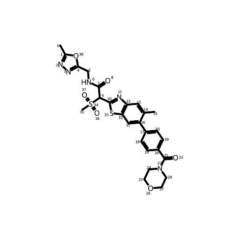 Cc1nnc(CNC(=O)C(c2nc3cc(C)c(-c4ccc(C(=O)N5CCOCC5)cc4)cc3s2)S(C)(=O)=O)o1